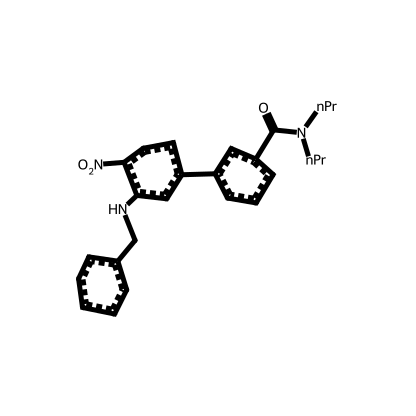 CCCN(CCC)C(=O)c1cccc(-c2ccc([N+](=O)[O-])c(NCc3ccccc3)c2)c1